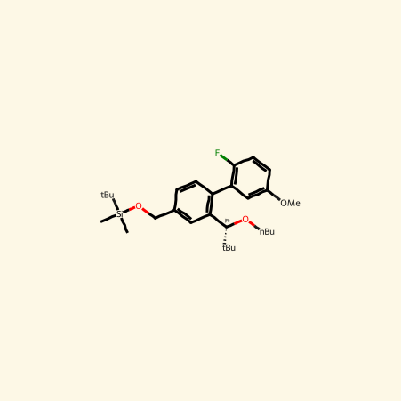 CCCCO[C@@H](c1cc(CO[Si](C)(C)C(C)(C)C)ccc1-c1cc(OC)ccc1F)C(C)(C)C